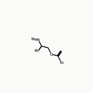 C=C(CC)OCC(NC)C(C)C